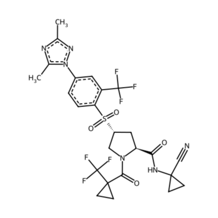 Cc1nc(C)n(-c2ccc(S(=O)(=O)[C@@H]3C[C@@H](C(=O)NC4(C#N)CC4)N(C(=O)C4(C(F)(F)F)CC4)C3)c(C(F)(F)F)c2)n1